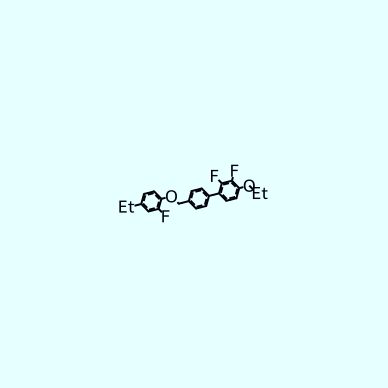 CCOc1ccc(-c2ccc(COc3ccc(CC)cc3F)cc2)c(F)c1F